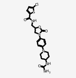 NC(=O)NC1CCN(c2ccc(N3CC(CNC(=O)c4ccc(Cl)s4)OC3=O)cc2)CC1